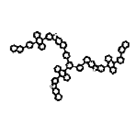 c1cc(-c2cc(-c3ccc(-c4ccc5cc6oc7ccc(-c8c9ccccc9c(-c9ccc(-c%10ccc%11ccccc%11c%10)cc9)c9ccccc89)cc7c6cc5c4)cc3)cc(-c3c4ccccc4c(-c4ccc5oc6cc7ccccc7cc6c5c4)c4ccccc34)c2)cc(-c2cccc3cc4c(cc23)oc2ccc(-c3c5ccccc5c(-c5cccc(-c6ccc7ccccc7c6)c5)c5ccccc35)cc24)c1